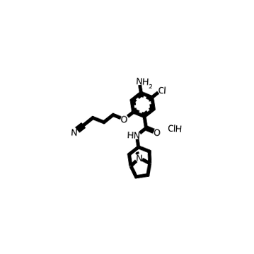 CN1C2CCC1CC(NC(=O)c1cc(Cl)c(N)cc1OCCCC#N)C2.Cl